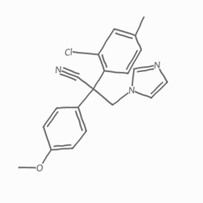 COc1ccc(C(C#N)(Cn2ccnc2)c2ccc(C)cc2Cl)cc1